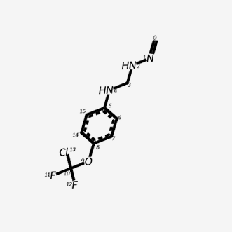 C=NNCNc1ccc(OC(F)(F)Cl)cc1